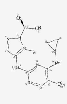 CC[C@@H](C#N)n1ncc(Nc2ncc(C(F)(F)F)c(NC3CC3)n2)c1C